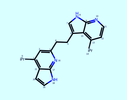 CC(C)c1cc(CCc2c[nH]c3nccc(C(C)C)c23)nc2[nH]ccc12